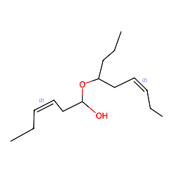 CC/C=C\CC(O)OC(C/C=C\CC)CCC